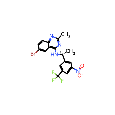 Cc1nc(N[C@H](C)c2cc([N+](=O)[O-])cc(C(F)(F)F)c2)c2cc(Br)ccc2n1